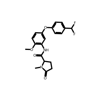 COc1ccc(Oc2ccc(C(F)F)cc2)cc1NC(=O)C1CCC(=O)N1C